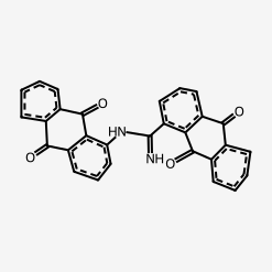 N=C(Nc1cccc2c1C(=O)c1ccccc1C2=O)c1cccc2c1C(=O)c1ccccc1C2=O